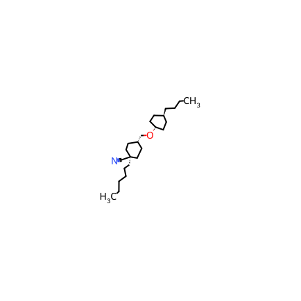 CCCCCC[C@]1(C#N)CC[C@H](CO[C@H]2CC[C@H](CCCC)CC2)CC1